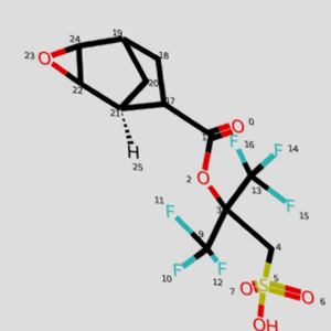 O=C(OC(CS(=O)(=O)O)(C(F)(F)F)C(F)(F)F)C1CC2C[C@@H]1C1OC21